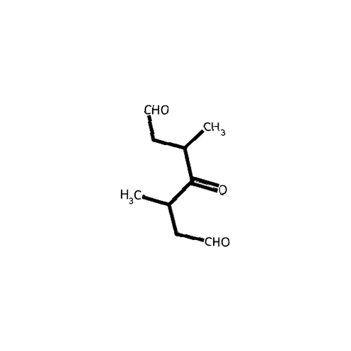 CC(CC=O)C(=O)C(C)CC=O